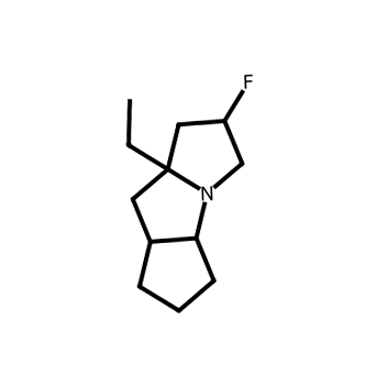 CCC12CC(F)CN1C1CCCC1C2